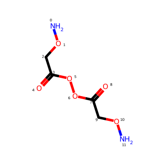 NOCC(=O)OOC(=O)CON